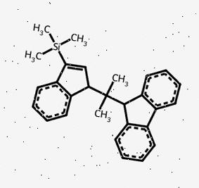 CC(C)(C1C=C([Si](C)(C)C)c2ccccc21)C1c2ccccc2-c2ccccc21